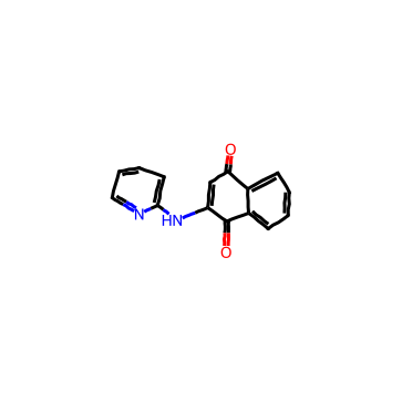 O=C1C=C(Nc2ccccn2)C(=O)c2ccccc21